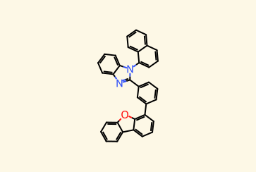 c1cc(-c2cccc3c2oc2ccccc23)cc(-c2nc3ccccc3n2-c2cccc3ccccc23)c1